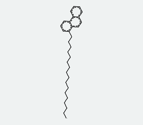 [CH2]CCCCCCCCCCCCCCCCc1cccc2c1ccc1ccccc12